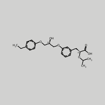 CCc1ccc(OC[C@@H](O)COc2cccc(C[C@H](OC(C)C)C(=O)O)c2)cc1